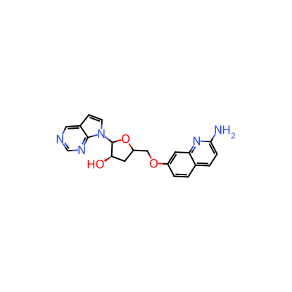 Nc1ccc2ccc(OCC3C[C@@H](O)C(n4ccc5cncnc54)O3)cc2n1